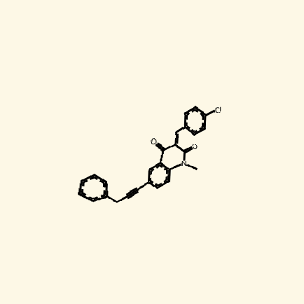 CN1C(=O)/C(=C\c2ccc(Cl)cc2)C(=O)c2cc(C#CCc3ccccc3)ccc21